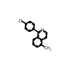 Cc1cccc2c(-c3ccc(Cl)cc3)nccc12